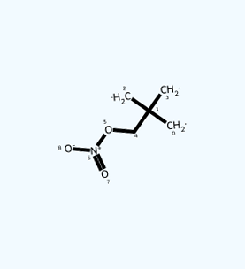 [CH2]C([CH2])([CH2])CO[N+](=O)[O-]